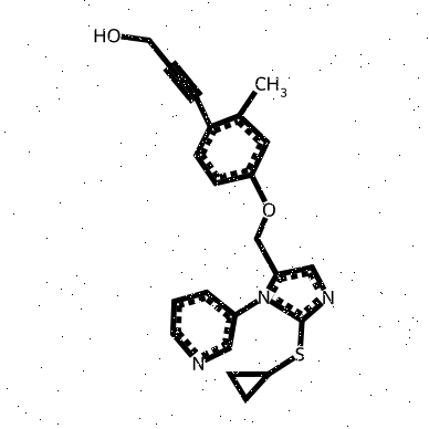 Cc1cc(OCc2cnc(SC3CC3)n2-c2cccnc2)ccc1C#CCO